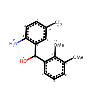 COc1cccc(C(O)c2cc(C(F)(F)F)ccc2N)c1OC